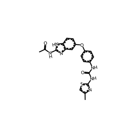 CC(=O)Nc1nc2cc(Oc3ccc(NC(=O)Nc4nc(C)cs4)cc3)ccc2[nH]1